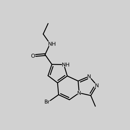 CCNC(=O)c1cc2c(Br)cn3c(C)nnc3c2[nH]1